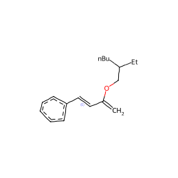 C=C(/C=C/c1ccccc1)OCC(CC)CCCC